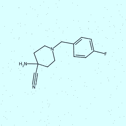 N#CC1(N)CCN(Cc2ccc(F)cc2)CC1